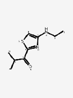 CCNc1csc(C(=O)C(C)C)n1